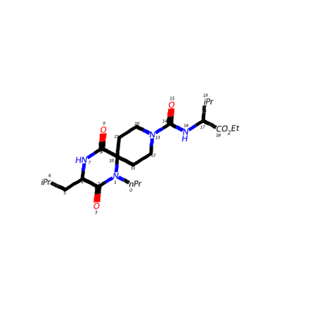 CCCN1C(=O)C(CC(C)C)NC(=O)C12CCN(C(=O)NC(C(=O)OCC)C(C)C)CC2